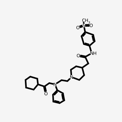 CS(=O)(=O)c1ccc(NC(=O)CC2CCN(CCN(CC(=O)C3CCCCC3)c3ccccc3)CC2)cc1